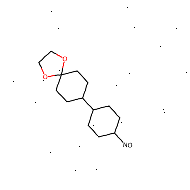 O=NC1CCC(C2CCC3(CC2)OCCO3)CC1